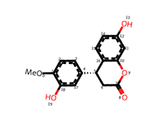 COc1ccc([C@H]2CC(=O)Oc3cc(O)ccc32)cc1O